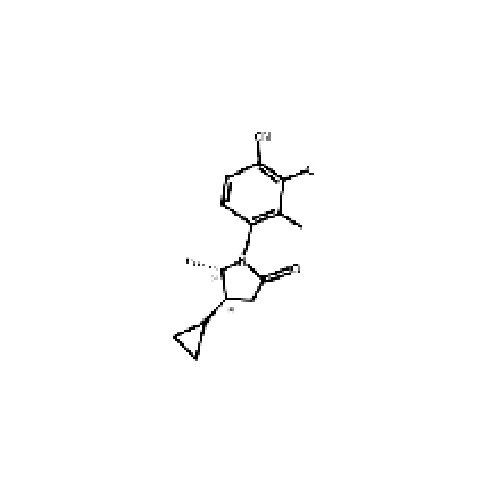 Cc1c(N2C(=O)C[C@@H](C3CC3)[C@@H]2C)ccc(C#N)c1Cl